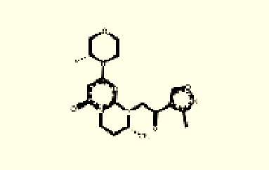 Cc1nocc1C(=O)CN1c2nc(N3CCOC[C@H]3C)cc(=O)n2CC[C@H]1C(F)(F)F